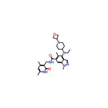 CCN(c1c(C)c(C(=O)NCc2c(C)cc(C)[nH]c2=O)cc2c1cnn2C)C1CCN(C2COC2)CC1